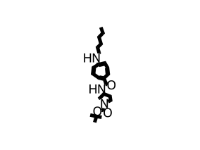 CCCCCCNC1=C/C=C\C(C(=O)N[C@@H]2CCN(C(=O)OC(C)(C)C)C2)=C/C=C\1